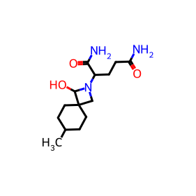 CC1CCC2(CC1)CN(C(CCC(N)=O)C(N)=O)C2O